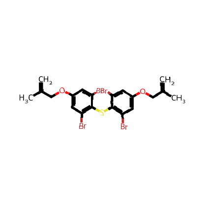 C=C(C)COc1cc(Br)c(Sc2c(Br)cc(OCC(=C)C)cc2Br)c(Br)c1